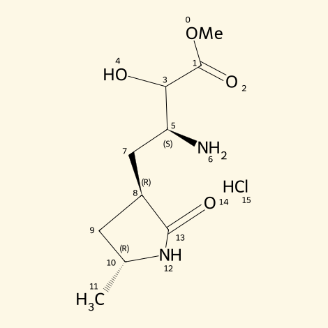 COC(=O)C(O)[C@@H](N)C[C@@H]1C[C@@H](C)NC1=O.Cl